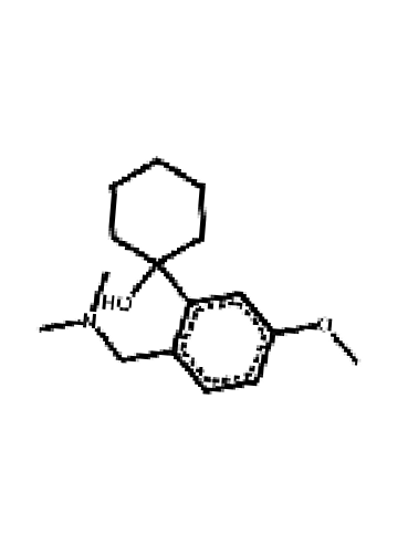 COc1ccc(CN(C)C)c(C2(O)CCCCC2)c1